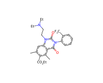 CCOC(=O)c1c(C)cc2c(c1C)c(=O)n(-c1ccccc1C(F)(F)F)c(=O)n2CCN(CC)CC